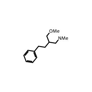 CNCC(CCc1ccccc1)COC